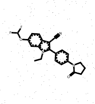 CCn1c(-c2ccc(N3CCCC3=O)cc2)c(C#N)c2ccc(OC(F)F)cc21